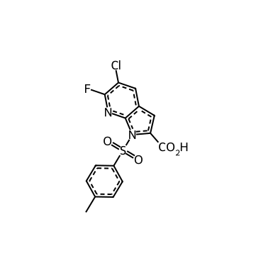 Cc1ccc(S(=O)(=O)n2c(C(=O)O)cc3cc(Cl)c(F)nc32)cc1